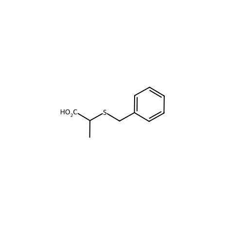 CC(SCc1ccccc1)C(=O)O